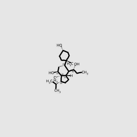 CC[C@@H](O)C1[C@@H]2CC[C@H](C(C)C)[C@@]2(C)[C@@H](O)C[C@@H]1[C@]1(C)CC[C@H](O)CC1